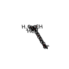 C#CCOCC(CNC(=O)CCOCCOCCOCCOCCOCCOCCN=[N+]=[N-])(COCC=C)OCC#C